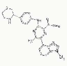 COC(=O)c1nc(-c2cccc3c2ncn3C)c(C)nc1Nc1ccc(C2COCCN2)cc1